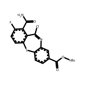 CCCCOC(=O)c1ccc2c(c1)N=C(Cl)c1c(ccc(F)c1C(N)=O)S2